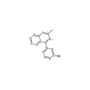 Cc1cc2ccccc2c(-c2cccc(Br)c2)n1